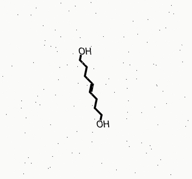 OCCC/C=C/CCCO